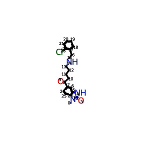 Cn1c(=O)[nH]c2cc(C(=O)CCCCNCCc3ccccc3Cl)ccc21